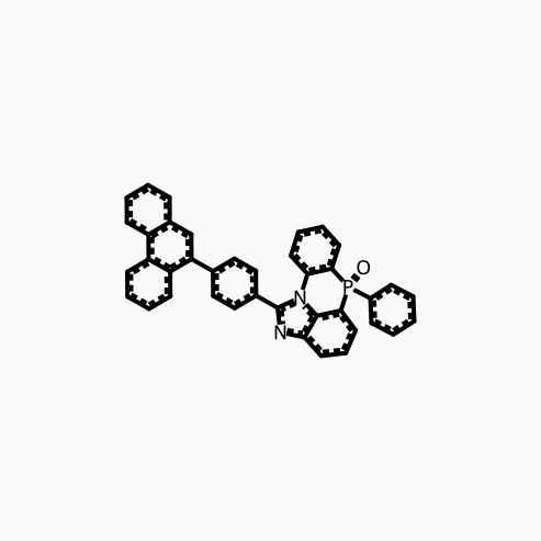 O=P1(c2ccccc2)c2ccccc2-n2c(-c3ccc(-c4cc5ccccc5c5ccccc45)cc3)nc3cccc1c32